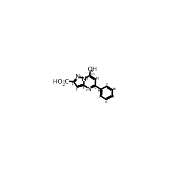 O=C(O)c1cc2nc(-c3ccccc3)cc(O)n2n1